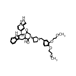 COCCOc1ccc(CN2CC[C@@H](N3CC(=O)N4[C@H](Cc5c([nH]c6ccccc56)[C@H]4C4=CC5=CNSN5C=C4)C3=O)C2)cc1OCCOC